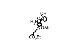 CCOC(=O)CCCCCOc1cc(N)c(C(=O)N2CCCC[C@H]2CO)cc1OC